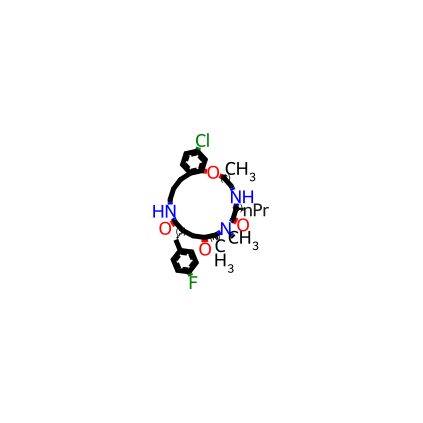 CCC[C@@H]1NC[C@@H](C)Oc2cc(Cl)ccc2CCCNC(=O)[C@@H](Cc2ccc(F)cc2)CC(=O)[C@@H](C)N(C)C1=O